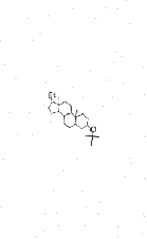 CCC1CCC2C3CCC4CC(OC(C)(C)I)CCC4(C)C3CCC12C